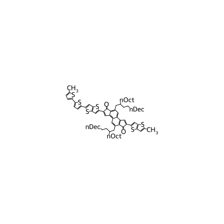 CCCCCCCCCCCCC(CCCCCCCC)Cc1cc2c3cc(-c4cc5sc(-c6ccc(-c7ccc(C)s7)s6)cc5s4)c(=O)c3c(CC(CCCCCCCC)CCCCCCCCCCCC)cc2c2cc(-c3cc4sc(C)cc4s3)c(=O)c12